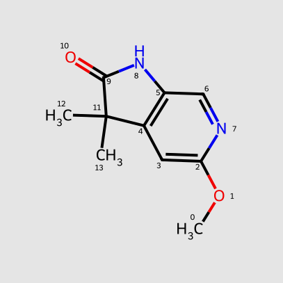 COc1cc2c(cn1)NC(=O)C2(C)C